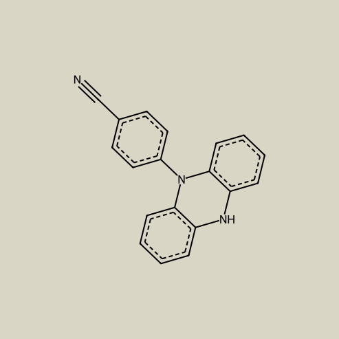 N#Cc1ccc(N2c3ccccc3Nc3ccccc32)cc1